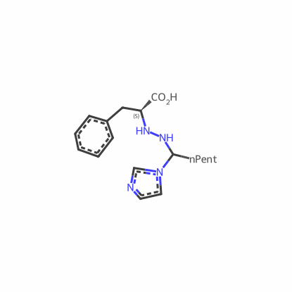 CCCCCC(NN[C@@H](Cc1ccccc1)C(=O)O)n1ccnc1